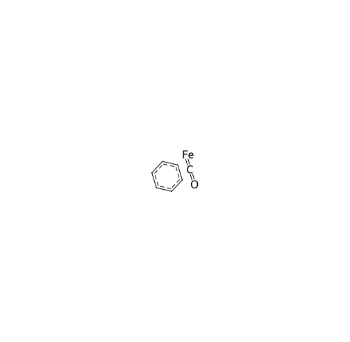 O=[C]=[Fe].c1ccccc1